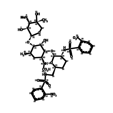 CN[C@@H]1[C@@H](O)[C@@H](O[C@@H]2[C@H](O)[C@H](O[C@H]3O[C@H](CNS(=O)(=O)c4ccccc4[N+](=O)[O-])CC[C@H]3NS(=O)(=O)c3ccccc3[N+](=O)[O-])[C@@H](NC(=O)O)C[C@H]2N)OC[C@]1(C)O